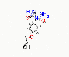 C#CCOc1ccc(N(C(N)=O)C(N)=O)cc1